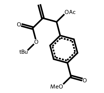 C=C(C(=O)OC(C)(C)C)C(OC(C)=O)c1ccc(C(=O)OC)cc1